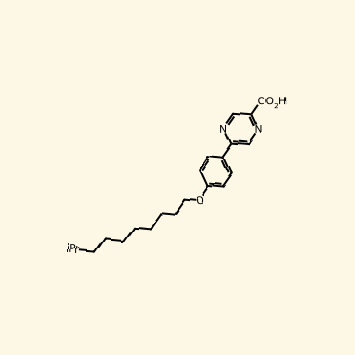 CC(C)CCCCCCCCOc1ccc(-c2cnc(C(=O)O)cn2)cc1